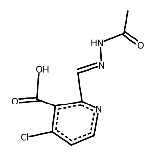 CC(=O)NN=Cc1nccc(Cl)c1C(=O)O